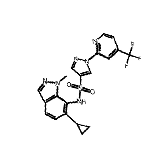 Cn1ncc2ccc(C3CC3)c(NS(=O)(=O)c3cnn(-c4cc(C(F)(F)F)ccn4)c3)c21